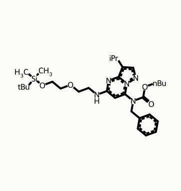 CCCCOC(=O)N(Cc1ccccc1)c1cc(NCCOCCO[Si](C)(C)C(C)(C)C)nc2c(C(C)C)cnn12